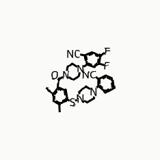 Cc1cc(C)c(C(=O)N2CCN(c3cc(F)c(F)cc3C#N)CC2)cc1SN1CCN(c2ccccc2C#N)CC1